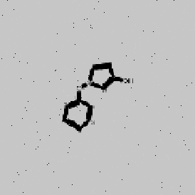 Oc1ccn(Oc2ccccc2)c1